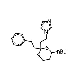 CCCCC1CCSC(CCc2ccccc2)(CCn2ccnc2)S1